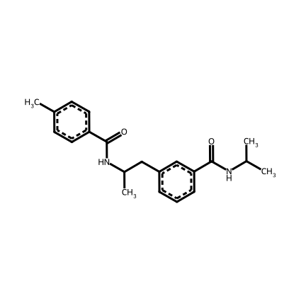 Cc1ccc(C(=O)NC(C)Cc2cccc(C(=O)NC(C)C)c2)cc1